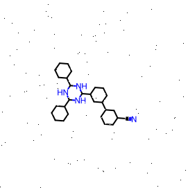 N#CC1CCCC(C2CCCC(C3NC(C4CCCCC4)NC(C4CCCCC4)N3)C2)C1